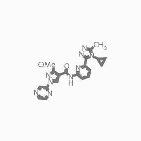 COc1nn(-c2cnccn2)cc1C(=O)Nc1cccc(-c2nnc(C)n2C2CC2)n1